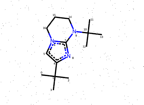 CC(C)(C)c1cn2c(n1)N(C(C)(C)C)CCC2